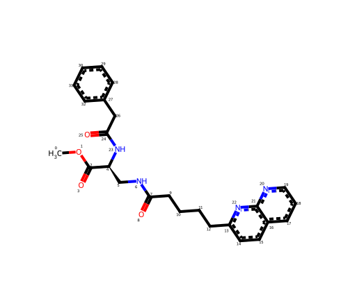 COC(=O)[C@H](CNC(=O)CCCCc1ccc2cccnc2n1)NC(=O)Cc1ccccc1